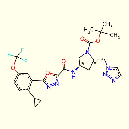 CC(C)(C)OC(=O)N1C[C@H](NC(=O)c2nnc(-c3cc(OC(F)(F)F)ccc3C3CC3)o2)C[C@H]1Cn1ccnn1